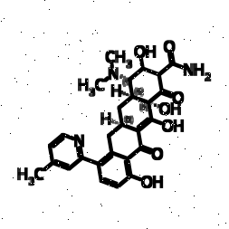 Cc1ccnc(-c2ccc(O)c3c2C[C@H]2C[C@H]4[C@H](N(C)C)C(O)C(C(N)=O)C(=O)[C@@]4(O)C(O)=C2C3=O)c1